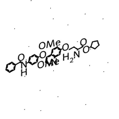 COc1cc2c(Oc3ccc(NC(=O)c4ccccc4)cc3OC)ccnc2cc1OCC[C@H](N)C(=O)OC1CCCC1